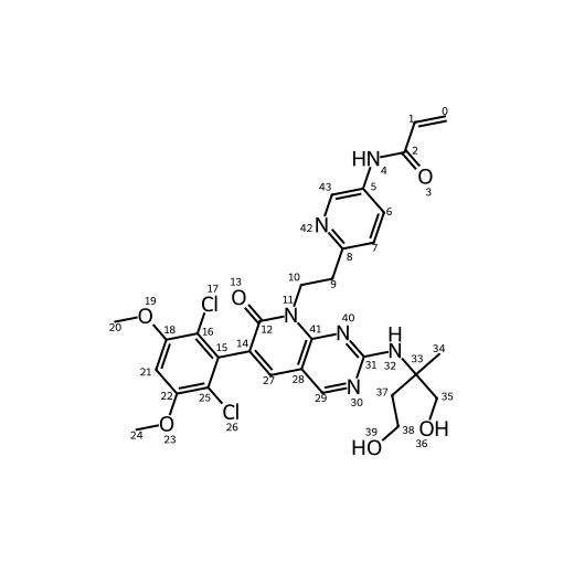 C=CC(=O)Nc1ccc(CCn2c(=O)c(-c3c(Cl)c(OC)cc(OC)c3Cl)cc3cnc(NC(C)(CO)CCO)nc32)nc1